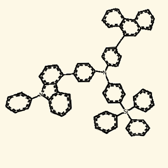 c1ccc(-n2c3ccccc3c3c(-c4ccc(N(c5ccc(-c6cc7ccccc7c7ccccc67)cc5)c5ccc([Si](c6ccccc6)(c6ccccc6)c6ccccc6)cc5)cc4)cccc32)cc1